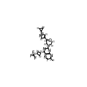 Cc1cnc2c(n1)nc(N1CCO[C@H](c3cnn(C4CC4)c3)C1)nc2[C@H]1C[C@@H](C(F)(F)F)C1